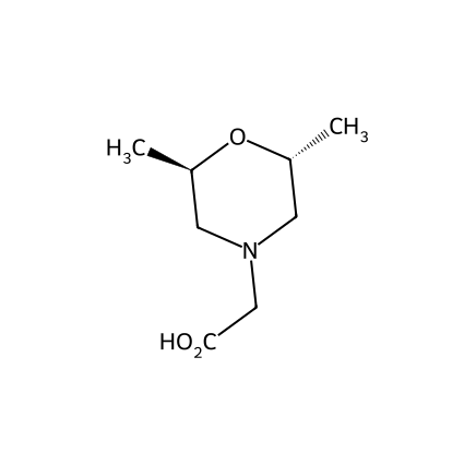 C[C@@H]1CN(CC(=O)O)C[C@@H](C)O1